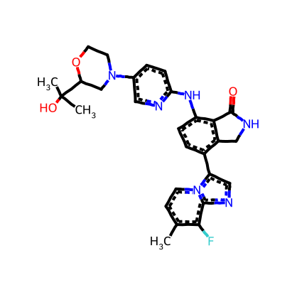 Cc1ccn2c(-c3ccc(Nc4ccc(N5CCOC(C(C)(C)O)C5)cn4)c4c3CNC4=O)cnc2c1F